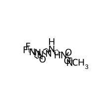 Cc1cc(C(=O)NC[C@H]2CC[C@@H](Nc3ccc(-n4nc(N5CC(F)(F)C5)ccc4=O)cn3)C2)on1